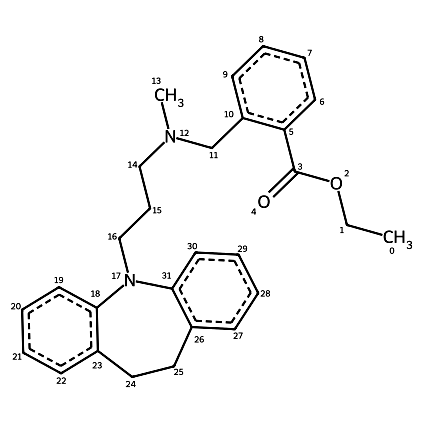 CCOC(=O)c1ccccc1CN(C)CCCN1c2ccccc2CCc2ccccc21